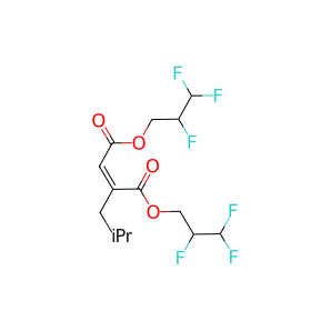 CC(C)CC(=CC(=O)OCC(F)C(F)F)C(=O)OCC(F)C(F)F